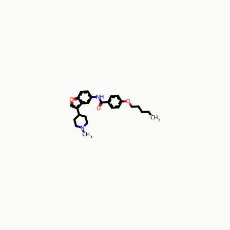 CCCCCOc1ccc(C(=O)Nc2ccc3occ(C4CCN(C)CC4)c3c2)cc1